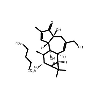 CC1=C[C@H]2[C@]3(O)[C@H](C)[C@@H](O)[C@@]4(O)[C@H]([C@@H]3C=C(CO)C[C@@]2(O)C1=O)C4(C)C.CCCCCCCCCCCCCC(=O)O